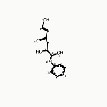 CC=CC(=O)CC(O)C(O)Oc1ccccc1